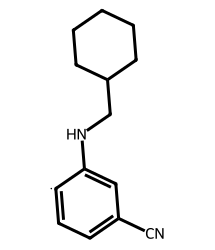 N#Cc1cc[c]c(NCC2CCCCC2)c1